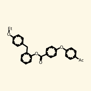 CCOc1ccc(Cc2ccccc2OC(=O)c2ccc(Oc3ccc(C(C)=O)cc3)cc2)cc1